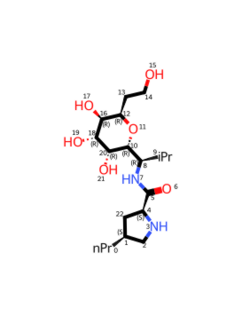 CCC[C@@H]1CN[C@H](C(=O)N[C@H](C(C)C)[C@H]2O[C@H](CCO)[C@H](O)[C@@H](O)[C@H]2O)C1